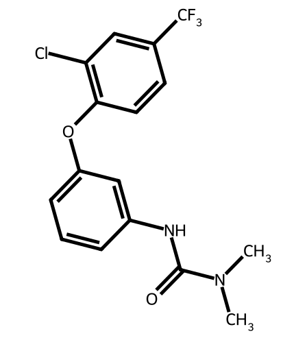 CN(C)C(=O)Nc1cccc(Oc2ccc(C(F)(F)F)cc2Cl)c1